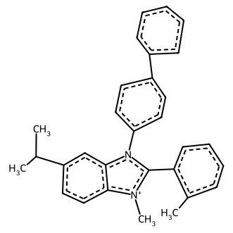 Cc1ccccc1-c1n(-c2ccc(-c3ccccc3)cc2)c2cc(C(C)C)ccc2[n+]1C